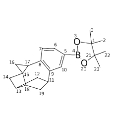 CC1(C)OB(c2ccc3c(c2)C2CC4CC5(CC35)C4C2)OC1(C)C